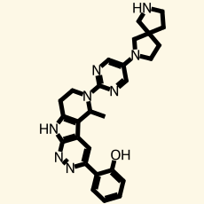 CC1c2c([nH]c3nnc(-c4ccccc4O)cc23)CCN1c1ncc(N2CCC3(CCNC3)C2)cn1